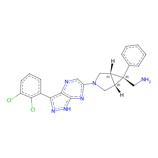 NC[C@@]1(c2ccccc2)[C@@H]2CN(c3cnc4c(-c5cccc(Cl)c5Cl)n[nH]c4n3)C[C@@H]21